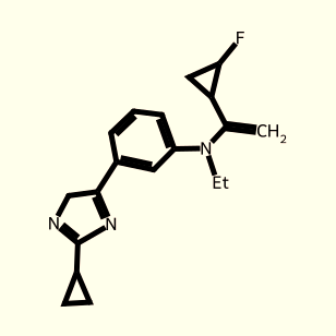 C=C(C1CC1F)N(CC)c1cccc(C2=NC(C3CC3)=NC2)c1